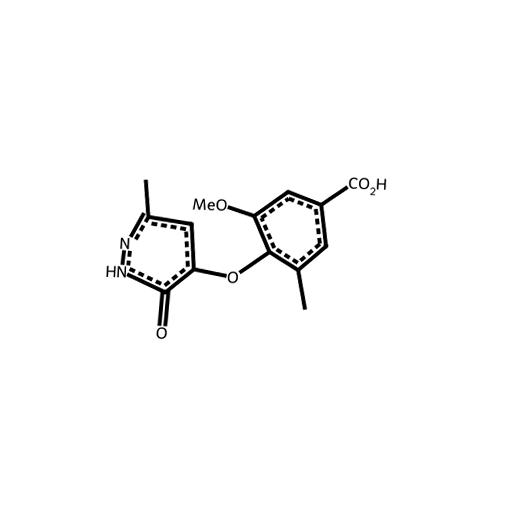 COc1cc(C(=O)O)cc(C)c1Oc1cc(C)n[nH]c1=O